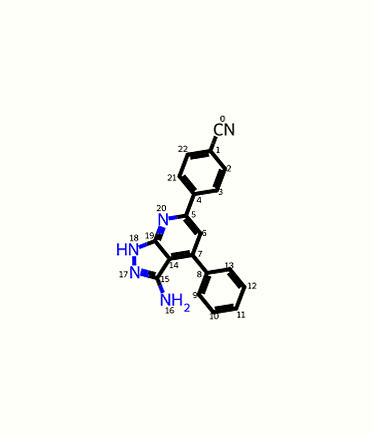 N#Cc1ccc(-c2cc(-c3ccccc3)c3c(N)n[nH]c3n2)cc1